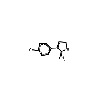 C=C1NCC=C1c1ccc(Cl)cc1